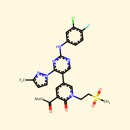 COC(=O)c1cc(-c2cnc(Nc3ccc(F)c(Cl)c3)nc2-n2ccc(C(F)(F)F)n2)cn(CCS(C)(=O)=O)c1=O